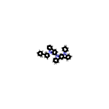 c1ccc(-c2cccc(-n3c4ccccc4c4ccc(-n5c6ccccc6c6cc7c8ccccc8n(-c8ccccc8)c7cc65)cc43)c2)cc1